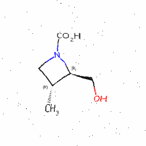 C[C@@H]1CN(C(=O)O)[C@H]1CO